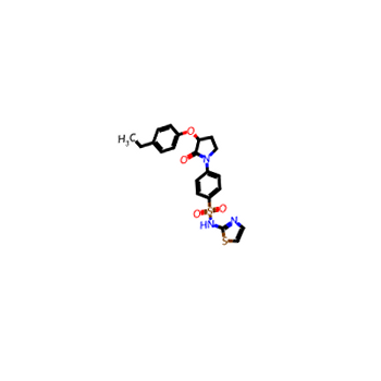 CCc1ccc(OC2CCN(c3ccc(S(=O)(=O)Nc4nccs4)cc3)C2=O)cc1